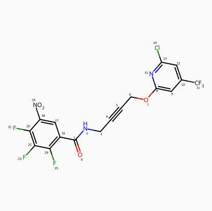 O=C(NCC#CCOc1cc(C(F)(F)F)cc(Cl)n1)c1cc([N+](=O)[O-])c(F)c(F)c1F